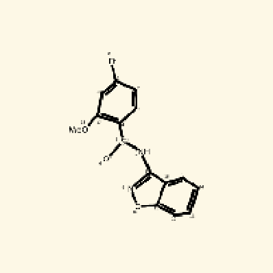 CCc1ccc([S+]([O-])Nc2noc3ccccc23)c(OC)c1